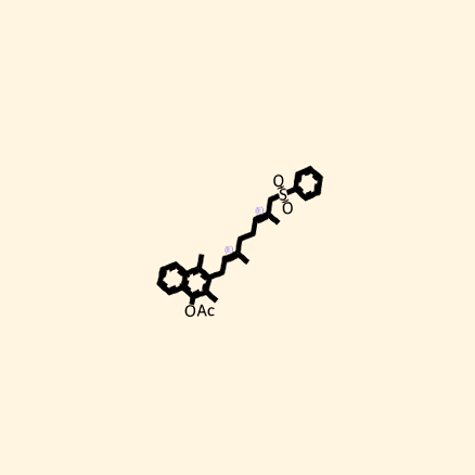 CC(=O)Oc1c(C)c(C/C=C(\C)CC/C=C(\C)CS(=O)(=O)c2ccccc2)c(C)c2ccccc12